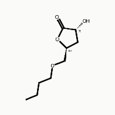 CCCCOC[C@@H]1C[C@@H](O)C(=O)O1